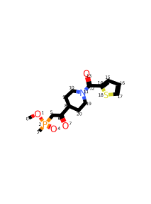 COP(C)(=O)CC(=O)C1CCN(C(=O)c2cccs2)CC1